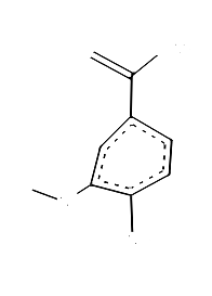 CCNc1cc(C(=O)OC)ccc1[N+](=O)[O-]